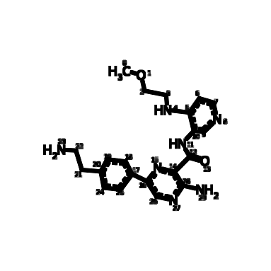 COCCNc1ccncc1NC(=O)c1nc(-c2ccc(CCN)cc2)cnc1N